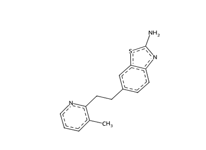 Cc1cccnc1CCc1ccc2nc(N)sc2c1